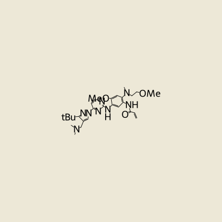 C=CC(=O)Nc1cc(Nc2nccc(-n3cc(CN(C)C)c(C(C)(C)C)n3)n2)c(OC)cc1N(C)CCOC